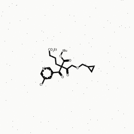 CCOC(=O)CCCC(C(=O)COCC1CC1)(C(=O)OC(C)(C)C)C(=O)c1cncc(Cl)c1